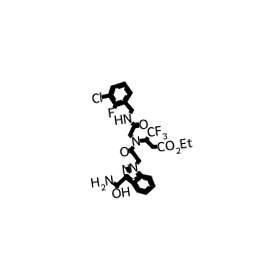 CCOC(=O)CC(N(CC(=O)NCc1cccc(Cl)c1F)C(=O)Cn1nc(C(N)O)c2ccccc21)C(F)(F)F